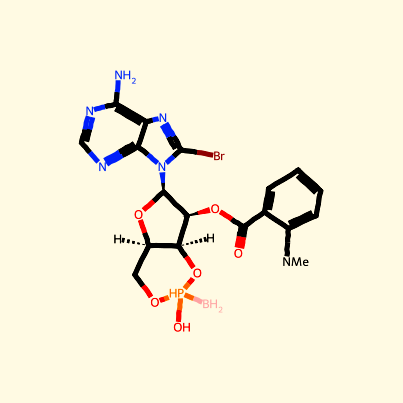 B[PH]1(O)OC[C@H]2O[C@@H](n3c(Br)nc4c(N)ncnc43)[C@@H](OC(=O)c3ccccc3NC)[C@H]2O1